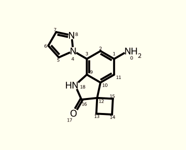 Nc1cc(-n2cccn2)c2c(c1)C1(CCC1)C(=O)N2